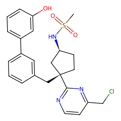 CS(=O)(=O)N[C@H]1CC[C@](Cc2cccc(-c3cccc(O)c3)c2)(c2nccc(CCl)n2)C1